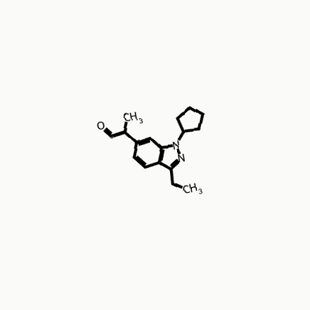 CCc1nn(C2CCCC2)c2cc(C(C)C=O)ccc12